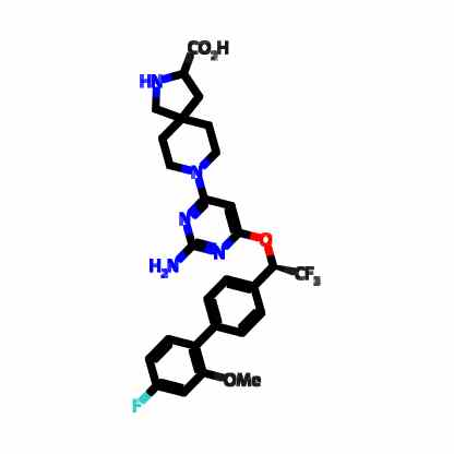 COc1cc(F)ccc1-c1ccc([C@@H](Oc2cc(N3CCC4(CC3)CNC(C(=O)O)C4)nc(N)n2)C(F)(F)F)cc1